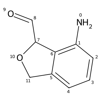 Nc1cccc2c1C(C=O)OC2